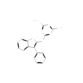 COc1nc(OC)nc(Oc2[nH]c3ccccc3c2-c2ccccc2)n1